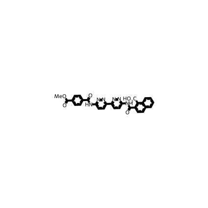 COC(=O)c1ccc(C(=O)Nc2ccc(-c3ccc(NC(=O)c4ccc5ccccc5c4C(=O)O)nn3)nn2)cc1